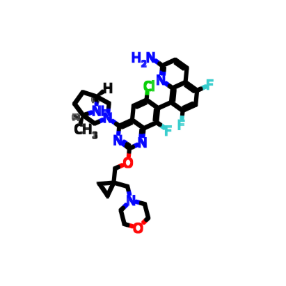 C[C@]12CC[C@H](CN(c3nc(OCC4(CN5CCOCC5)CC4)nc4c(F)c(-c5c(F)cc(F)c6ccc(N)nc56)c(Cl)cc34)C1)N2